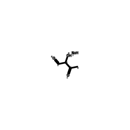 CC(=O)C(O)C=O.[NaH]